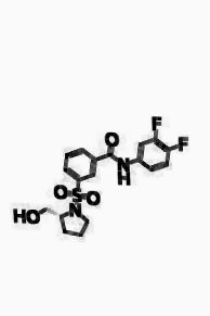 O=C(Nc1ccc(F)c(F)c1)c1cccc(S(=O)(=O)N2CCC[C@@H]2CO)c1